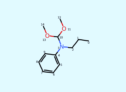 CCCN(c1ccccc1)C(OC)OC